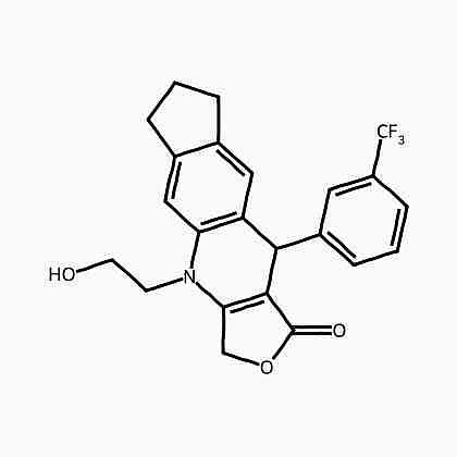 O=C1OCC2=C1C(c1cccc(C(F)(F)F)c1)c1cc3c(cc1N2CCO)CCC3